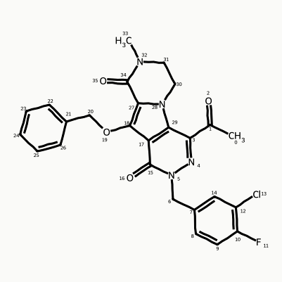 CC(=O)c1nn(Cc2ccc(F)c(Cl)c2)c(=O)c2c(OCc3ccccc3)c3n(c12)CCN(C)C3=O